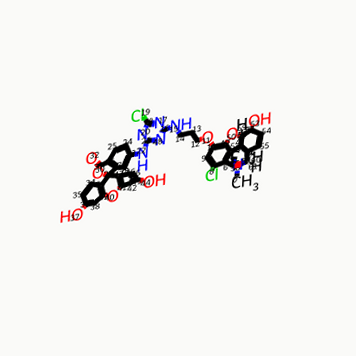 CN1CC[C@]23c4c5c(Cl)cc(OCCCNc6nc(Cl)nc(Nc7ccc8c(c7)C7(OC8=O)c8ccc(O)cc8Oc8cc(O)ccc87)n6)c4O[C@H]2[C@@H](O)C=C[C@H]3[C@H]1C5